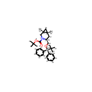 CC(C)(C)OC(=O)N1C[C@@H]2C[C@@H]2C[C@H]1CO[Si](c1ccccc1)(c1ccccc1)C(C)(C)C